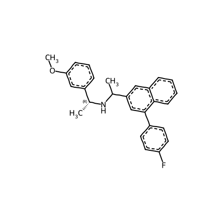 COc1cccc([C@@H](C)NC(C)c2cc(-c3ccc(F)cc3)c3ccccc3c2)c1